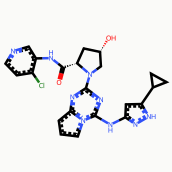 O=C(Nc1cnccc1Cl)[C@@H]1C[C@H](O)CN1c1nc(Nc2cc(C3CC3)[nH]n2)n2cccc2n1